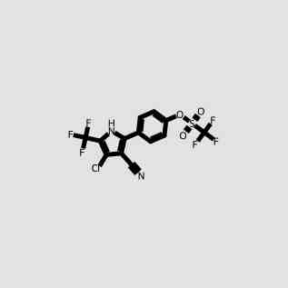 N#Cc1c(-c2ccc(OS(=O)(=O)C(F)(F)F)cc2)[nH]c(C(F)(F)F)c1Cl